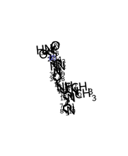 CN(C)c1nc(-c2cccnc2)cc(CNCC2CCN(c3nccc(/C=C4\SC(=O)NC4=O)n3)CC2)c1F